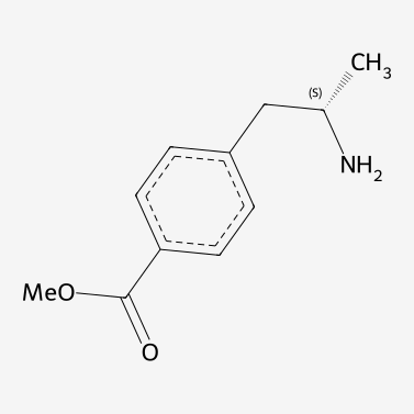 COC(=O)c1ccc(C[C@H](C)N)cc1